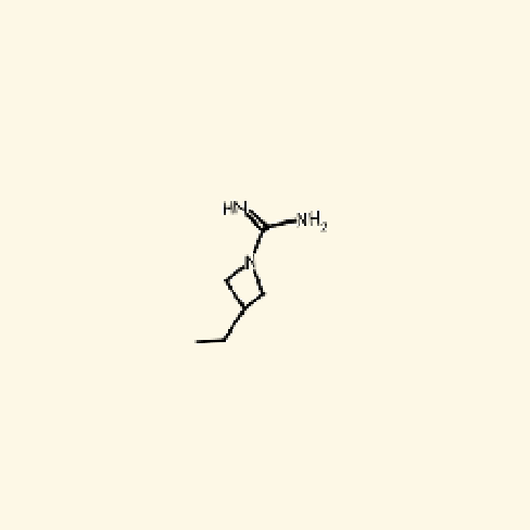 CCC1CN(C(=N)N)C1